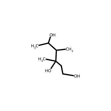 CC(O)C(C)C(C)(O)CCO